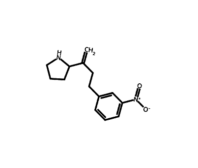 C=C(CCc1cccc([N+](=O)[O-])c1)C1CCCN1